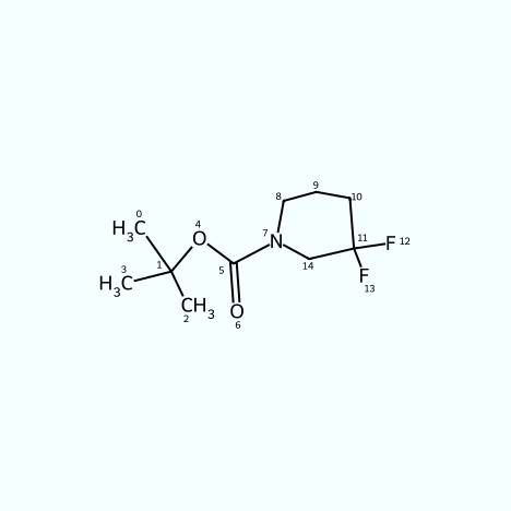 CC(C)(C)OC(=O)N1CCCC(F)(F)C1